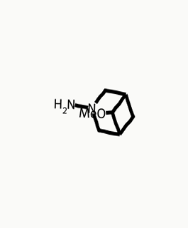 COC1C2CC1CN(N)C2